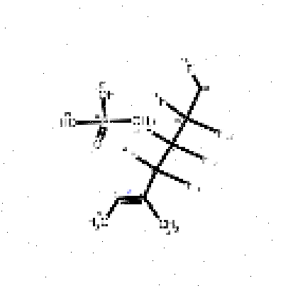 C/C=C(\C)C(F)(F)C(F)(F)C(F)(F)CF.O=P(O)(O)O